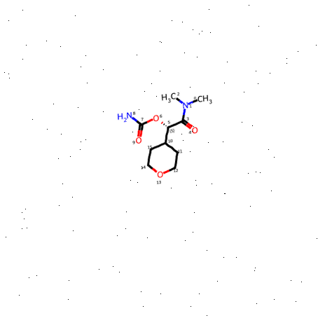 CN(C)C(=O)[C@@H](OC(N)=O)C1CCOCC1